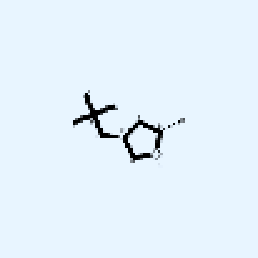 C[C@H]1C[C@H](CC(C)(C)C)CO1